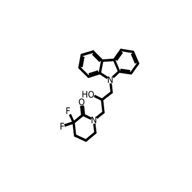 O=C1N(CC(O)Cn2c3ccccc3c3ccccc32)CCCC1(F)F